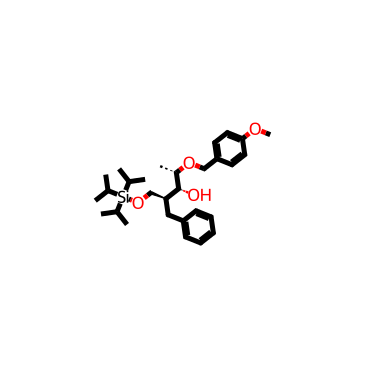 COc1ccc(CO[C@@H](C)[C@H](O)[C@H](CO[Si](C(C)C)(C(C)C)C(C)C)Cc2ccccc2)cc1